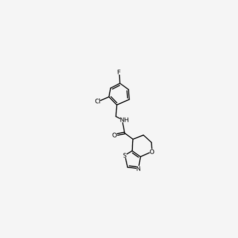 O=C(NCc1ccc(F)cc1Cl)C1CCOc2ncsc21